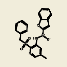 Cc1cnc(S(=O)(=O)Cc2ccccc2)c(N[S+]([O-])c2cc3ccccc3o2)c1